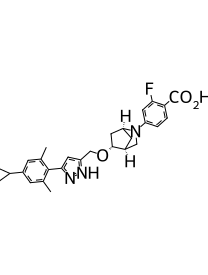 Cc1cc(C2CC2)cc(C)c1-c1cc(CO[C@@H]2C[C@@H]3C[C@H]2CN3c2ccc(C(=O)O)c(F)c2)[nH]n1